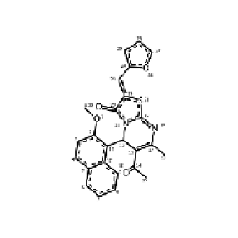 COc1ccc2ccccc2c1C1C(C(C)=O)=C(C)N=c2s/c(=C\c3ccco3)c(=O)n21